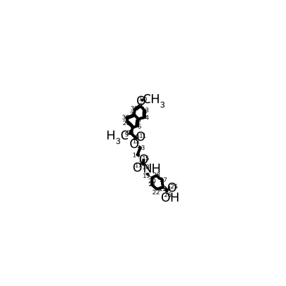 COc1ccc2cc([C@H](C)C(=O)OCCOC(=O)NC[C@H]3CC[C@H](C(=O)O)CC3)ccc2c1